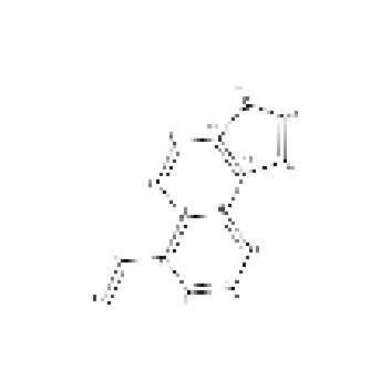 C=Cc1cccc2c1ccc1sccc12